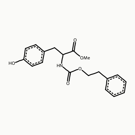 COC(=O)C(Cc1ccc(O)cc1)NC(=O)OCCc1ccccc1